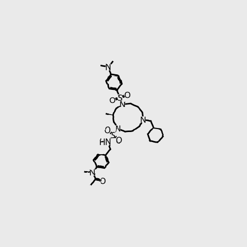 CC(=O)N(C)c1ccc(CNS(=O)(=O)N2CCCN(CC3CCCCC3)CCCN(S(=O)(=O)c3ccc(N(C)C)cc3)C[C@H](C)C2)cc1